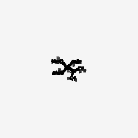 CO[Si](OC)(OC)[Si](C)C